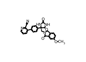 COc1ccc2c(c1)C(=O)N(C[C@@]1(c3ccc(-c4cccnc4C#N)cc3)NC(=O)NC1=O)C2